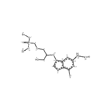 CCOP(=O)(COCC(CO)On1cnc2c(Cl)nc(NC=O)nc21)OCC